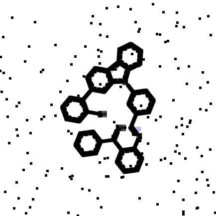 N=C(c1ccccc1)c1ccccc1/N=C/c1cccc(-n2c3ccccc3c3ccc(-c4ccccc4S)cc32)c1